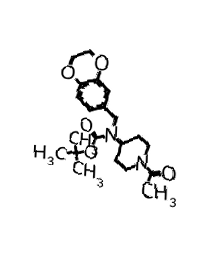 CC(=O)N1CCC(N(Cc2ccc3c(c2)OCCO3)C(=O)OC(C)(C)C)CC1